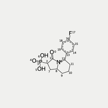 O=C1C(P(=O)(O)O)CC2CCCC(c3ccc(F)cc3)N12